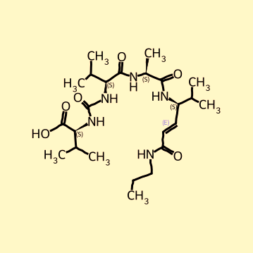 CCCNC(=O)/C=C/[C@@H](NC(=O)[C@H](C)NC(=O)[C@@H](NC(=O)N[C@H](C(=O)O)C(C)C)C(C)C)C(C)C